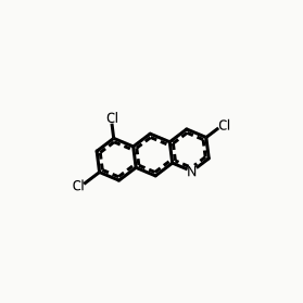 Clc1cnc2cc3cc(Cl)cc(Cl)c3cc2c1